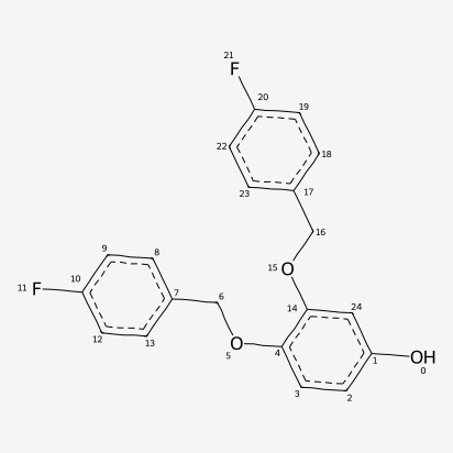 Oc1ccc(OCc2ccc(F)cc2)c(OCc2ccc(F)cc2)c1